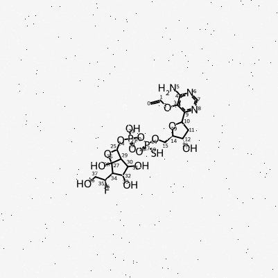 C=COc1c(N)ncnc1C1C[C@H](O)[C@@H](COP(=O)(S)OP(=O)(O)OC2OC3(O)C2C(O)C(O)C3[C@@H](F)CO)O1